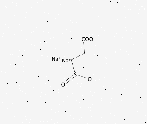 O=C([O-])CCS(=O)[O-].[Na+].[Na+]